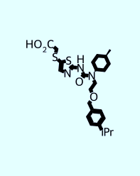 CC(C)c1ccc(COCCN(C(=O)Nc2ncc(SCC(=O)O)s2)[C@H]2CC[C@H](C)CC2)cc1